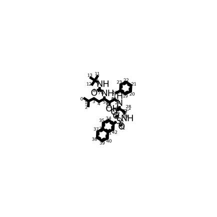 CC(C)CCC(NC(=O)NC(C)(C)C)[C@H](O)[C@H](Cc1ccccc1)NC(=O)[C@H](C)NS(=O)(=O)c1ccc2ccccc2c1